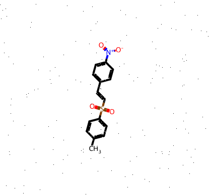 Cc1ccc(S(=O)(=O)C=Cc2ccc([N+](=O)[O-])cc2)cc1